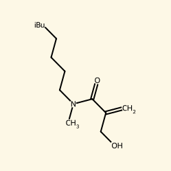 C=C(CO)C(=O)N(C)CCCCC(C)CC